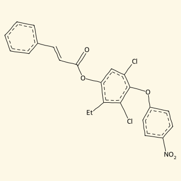 CCc1c(OC(=O)C=Cc2ccccc2)cc(Cl)c(Oc2ccc([N+](=O)[O-])cc2)c1Cl